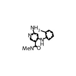 CNC(=O)c1cnc(N)cc1Nc1ccccc1C